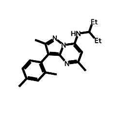 CCC(CC)Nc1cc(C)nc2c(-c3ccc(C)cc3C)c(C)nn12